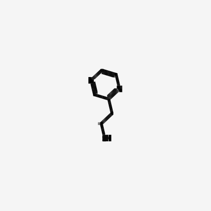 S[CH]Cc1cnccn1